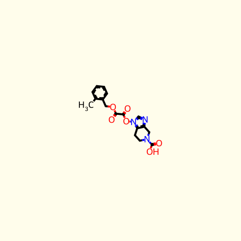 Cc1ccccc1COC(=O)C(=O)On1cnc2c1CCN(C(=O)O)C2